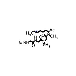 C/C=C/CCCC(C(C)=O)N(C)C(=O)CN(C)C(=O)CNC(=O)CNC(C)=O